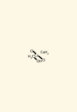 CO.[CaH2].[Cl][Ca][Cl]